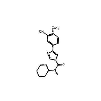 COc1ccc(-c2cn(C(=O)N(C)C3CCCCC3)cn2)cc1N=O